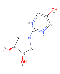 Oc1cnc(N2C[C@@H](O)[C@@H](O)C2)nc1